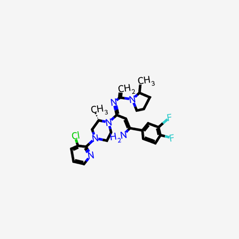 C=C(/N=C(\C=C(/N)c1ccc(F)c(F)c1)N1CCN(c2ncccc2Cl)C[C@@H]1C)N1CCCC1C